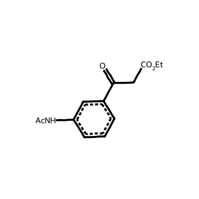 CCOC(=O)CC(=O)c1cccc(NC(C)=O)c1